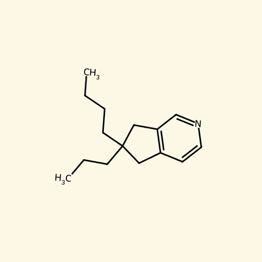 CCCCC1(CCC)Cc2ccncc2C1